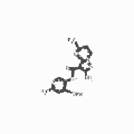 COc1cc(C)ncc1NC(=O)c1c(N)nn2ccc(C(F)(F)F)nc12